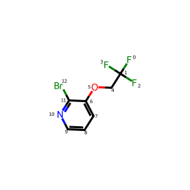 FC(F)(F)COc1cccnc1Br